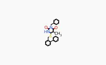 Cc1c(SCc2ccccc2-c2ccccc2)[nH]c(=O)n(Cc2ccccc2)c1=O